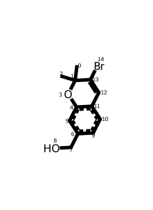 CC1(C)Oc2cc(CO)ccc2C=C1Br